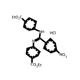 CCOC(=O)c1ccc(/N=C(/Nc2ccc(C(=O)OCC)cc2)c2ccc([N+](=O)[O-])cc2)cc1.Cl